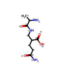 CC(N)C(=O)NCC(CCC(N)=O)C(=O)O